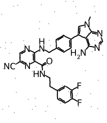 Cn1cc(-c2ccc(CNc3ncc(C#N)nc3C(=O)NCCc3ccc(F)c(F)c3)cc2)c2c(N)ncnc21